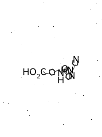 O=C(O)Cc1ccc(CNC(=O)c2cccnc2NCc2ccncc2)cc1